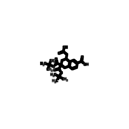 CC(C)(C)OC(=O)C1(C(=O)OC(C)(C)C)Cc2ccc(C(=O)O)cc2C(CC(=O)O)C1